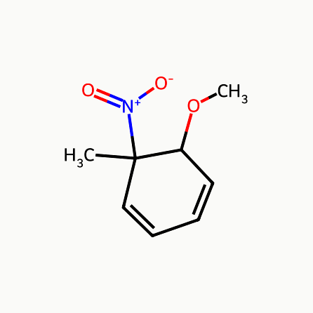 COC1C=CC=CC1(C)[N+](=O)[O-]